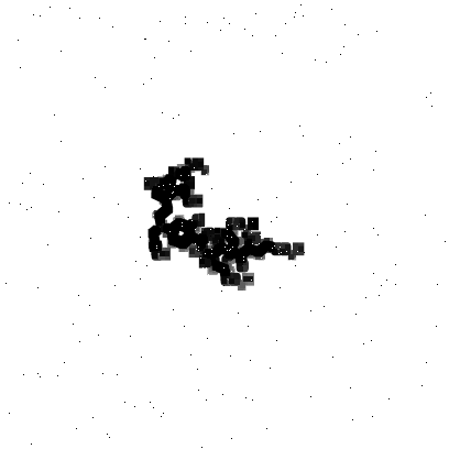 C#CCN(CCc1c[nH]c2nc(N)nc(O)c12)c1ccc(C(=O)N[C@@H](CCC(=O)O)C(=O)C(C[C@H](N)C(=O)O)(C(=O)O)C(=O)[C@@H](N)CCC(=O)O)c(Cl)c1